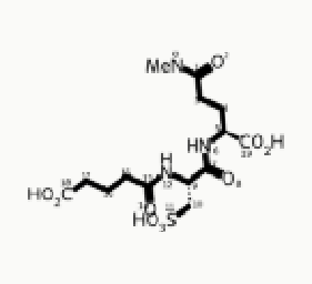 CNC(=O)CC[C@H](NC(=O)[C@H](CS(=O)(=O)O)NC(=O)CCCC(=O)O)C(=O)O